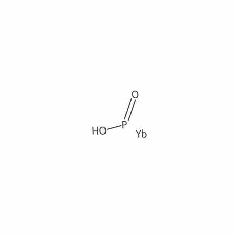 O=PO.[Yb]